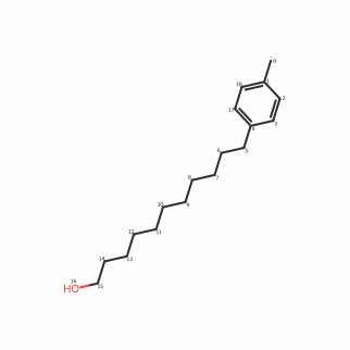 [CH2]c1ccc(CCCCCCCCCCCO)cc1